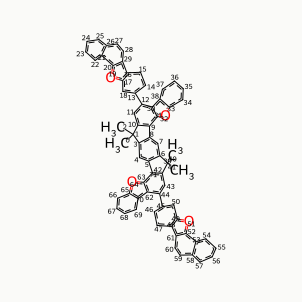 CC1(C)c2cc3c(cc2-c2c1cc(-c1ccc4c(c1)oc1c5ccccc5ccc41)c1c2oc2ccccc21)C(C)(C)c1cc(-c2ccc4c(c2)oc2c5ccccc5ccc42)c2c(oc4ccccc42)c1-3